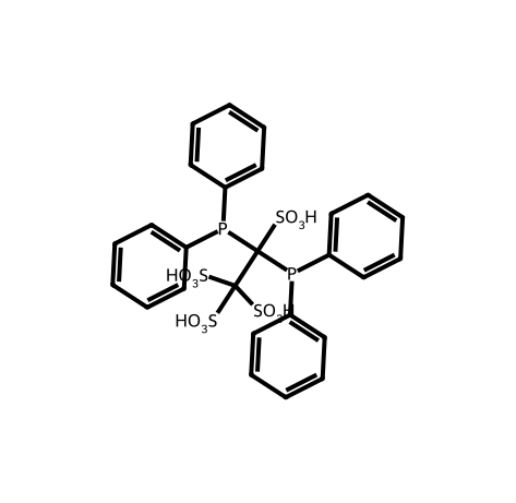 O=S(=O)(O)C(P(c1ccccc1)c1ccccc1)(P(c1ccccc1)c1ccccc1)C(S(=O)(=O)O)(S(=O)(=O)O)S(=O)(=O)O